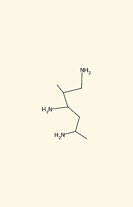 CC(N)CC(N)C(C)CN